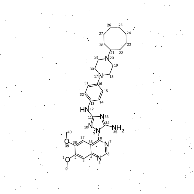 COc1cc2ncnc(-n3nc(Nc4ccc(N5CCN(C6CCCCCCC6)CC5)cc4)nc3N)c2cc1OC